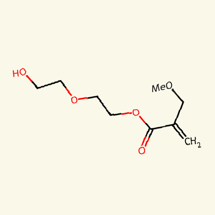 C=C(COC)C(=O)OCCOCCO